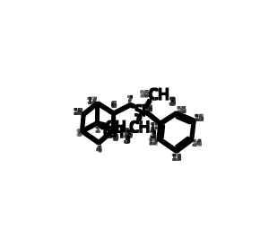 CC1(C)C2CCC(C[Si](C)(C)c3ccccc3)C1C2